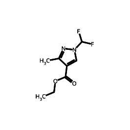 CCOC(=O)c1cn(C(F)F)nc1C